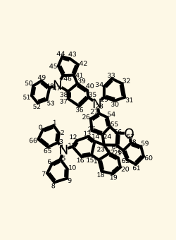 c1ccc(N(c2ccccc2)c2ccc3c(c2)-c2ccccc2C32c3ccc(N(c4ccccc4)c4ccc5c(c4)c4ccccc4n5-c4ccccc4)cc3-c3oc4ccccc4c32)cc1